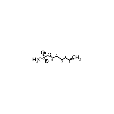 C=CCCCCOS(C)(=O)=O